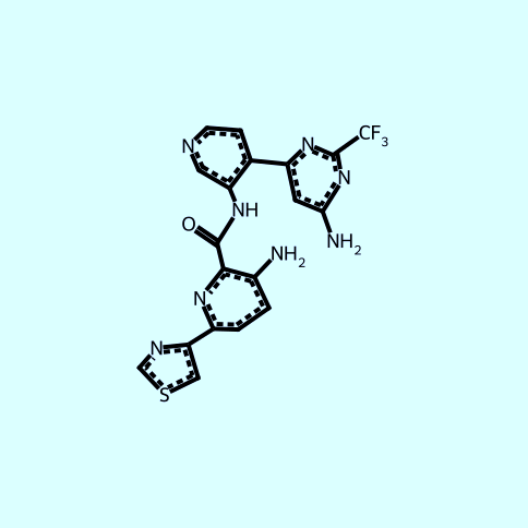 Nc1cc(-c2ccncc2NC(=O)c2nc(-c3cscn3)ccc2N)nc(C(F)(F)F)n1